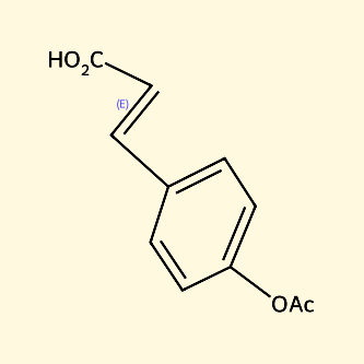 CC(=O)Oc1ccc(/C=C/C(=O)O)cc1